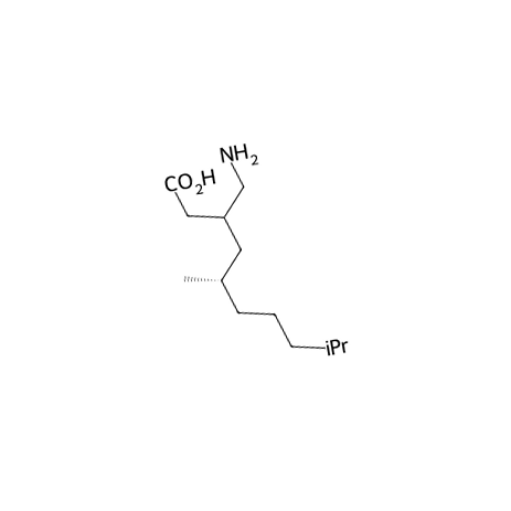 CC(C)CCC[C@H](C)CC(CN)CC(=O)O